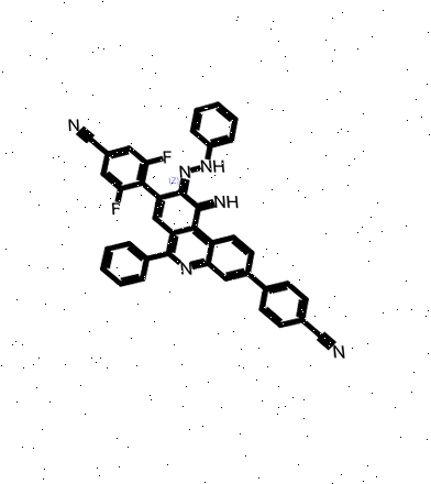 N#Cc1ccc(-c2ccc3c4c(c(-c5ccccc5)nc3c2)C=C(c2c(F)cc(C#N)cc2F)/C(=N/Nc2ccccc2)C4=N)cc1